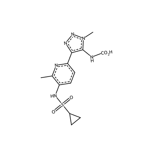 Cc1nc(-c2nnn(C)c2NC(=O)O)ccc1NS(=O)(=O)C1CC1